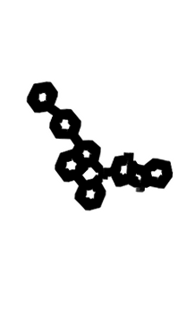 c1ccc(-c2ccc(-c3ccc(N(c4cnc5c(c4)sc4ccccc45)c4ccccc4-c4ccccc4)cc3)cc2)cc1